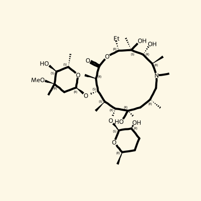 CC[C@H]1OC(=O)[C@H](C)[C@@H](O[C@H]2C[C@@](C)(OC)[C@@H](O)[C@H](C)O2)[C@H](C)[C@@H](O[C@@H]2O[C@H](C)CC[C@H]2O)[C@](C)(O)C[C@@H](C)CN(C)[C@H](C)[C@@H](O)[C@]1(C)O